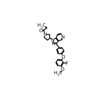 C=CC(=O)N1CCC(n2nc(-c3ccc(Oc4cccc(OC)c4F)cc3)c3cnccc32)C1